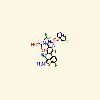 C[C@H](O)[C@H]1[C@@H](C)Oc2c(Cl)c(-c3ccc(F)c4sc(N)c(C#N)c34)c(F)c3nc(OC[C@@]45CCCN4C[C@H](F)C5)nc(c23)N1CC(F)F